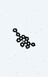 C1=CC(c2ccc(C3=c4ccccc4=C(n4c5ccccc5c5c6c7ccccc7c(-c7ccccc7)cc6c6ccccc6c54)C4=CCCCC43)cc2)=CCC1